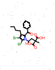 CCCCc1c(Br)c(Br)n(C(C)CC(C)(C(=O)O)C(=O)O)c1C(=O)c1ccccc1